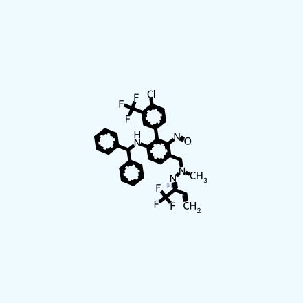 C=C/C(=N\N(C)Cc1ccc(NC(c2ccccc2)c2ccccc2)c(-c2ccc(Cl)c(C(F)(F)F)c2)c1N=O)C(F)(F)F